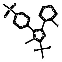 Cn1c(C(F)(F)F)nc(-c2ccccc2F)c1-c1ccc(S(C)(=O)=O)cc1